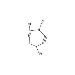 CC(C)C1C#CN(Cl)C(O)=NC1